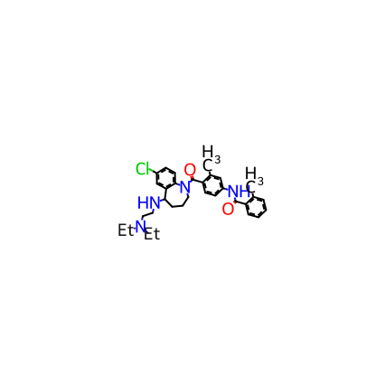 CCN(CC)CCNC1CCCN(C(=O)c2ccc(NC(=O)c3ccccc3C)cc2C)c2ccc(Cl)cc21